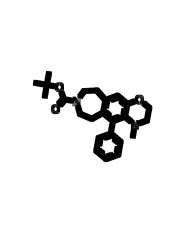 CN1CCOc2cc3c(c(-c4ccccc4)c21)CCN(C(=O)OC(C)(C)C)CC3